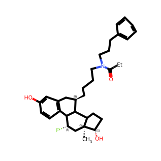 CCC(=O)N(CCCC[C@@H]1Cc2cc(O)ccc2C2C1C1CC[C@H](O)[C@@]1(C)C[C@@H]2F)CCCc1ccccc1